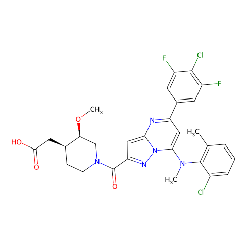 CO[C@H]1CN(C(=O)c2cc3nc(-c4cc(F)c(Cl)c(F)c4)cc(N(C)c4c(C)cccc4Cl)n3n2)CC[C@H]1CC(=O)O